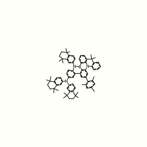 Cc1cc(C)c(-c2cc3c4c(c2)N2c5ccccc5C(C)(C)c5cccc(c52)B4N(c2ccc4c(c2)C(C)(C)CCC4(C)C)c2ccc(N(c4ccc5c(c4)C(C)(C)CCC5(C)C)c4ccc5c(c4)C(C)(C)CCC5(C)C)cc2-3)c(C)c1